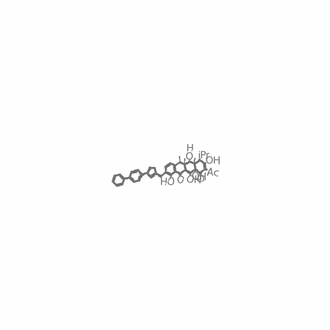 CC(=O)C1=C(O)C(C(C)C)[C@@]2(C)[C@H](O)[C@]3(C)C(=C(O)[C@@]2(O)C1=O)C(=O)c1c(ccc(CC2=CC(c4ccc(-c5ccccc5)cc4)=CC2)c1O)[C@H]3C